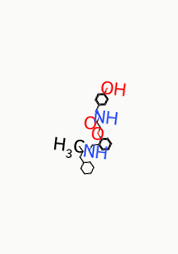 CC(CC1CCCCC1)NCc1ccccc1OCC(=O)NCc1ccc(O)cc1